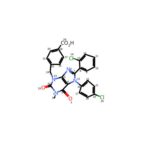 Cn1c(=O)c2c(nc(-c3ccccc3Cl)n2-c2ccc(Cl)cc2)n(Cc2ccc(C(=O)O)cc2)c1=O